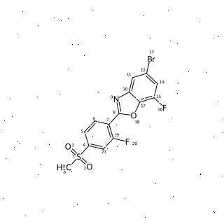 CS(=O)(=O)c1ccc(-c2nc3cc(Br)cc(F)c3o2)c(F)c1